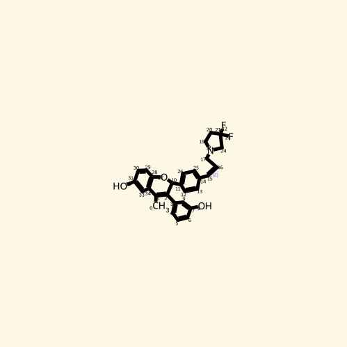 CC1=C(c2cccc(O)c2)C(c2ccc(/C=C\CN3CCC(F)(F)C3)cc2)Oc2ccc(O)cc21